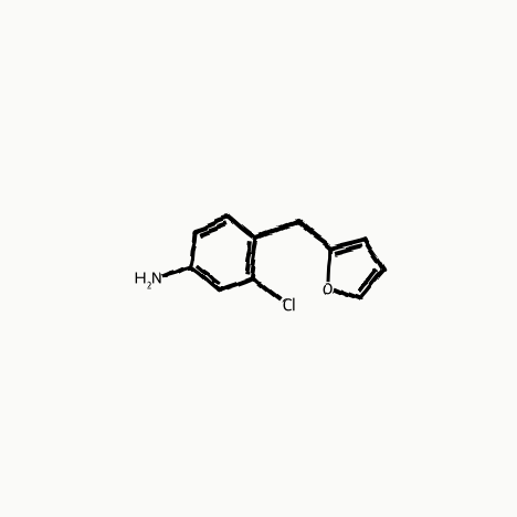 Nc1ccc(Cc2ccco2)c(Cl)c1